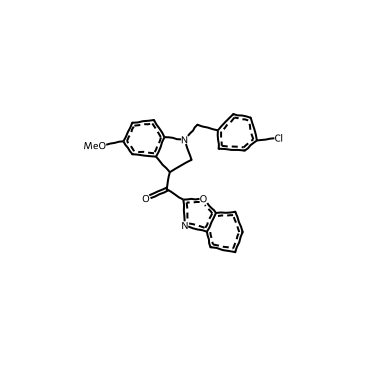 COc1ccc2c(c1)C(C(=O)c1nc3ccccc3o1)CN2Cc1ccc(Cl)cc1